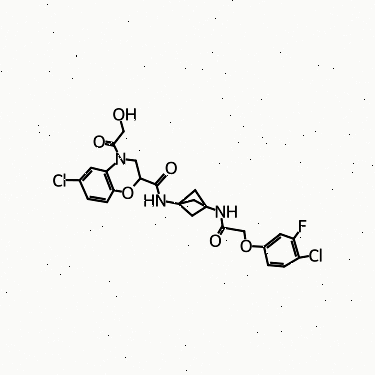 O=C(COc1ccc(Cl)c(F)c1)NC12CC(NC(=O)C3CN(C(=O)CO)c4cc(Cl)ccc4O3)(C1)C2